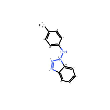 Cc1ccc(Nn2nnc3ccccc32)cc1